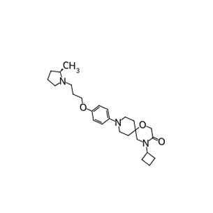 C[C@@H]1CCCN1CCCOc1ccc(N2CCC3(CC2)CN(C2CCC2)C(=O)CO3)cc1